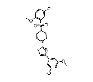 COc1cc(OC)cc(-c2csc(N3CCC(S(=O)(=O)c4cc(Cl)ccc4OC)CC3)n2)c1